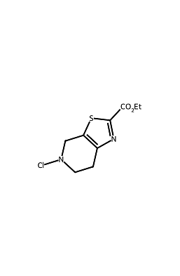 CCOC(=O)c1nc2c(s1)CN(Cl)CC2